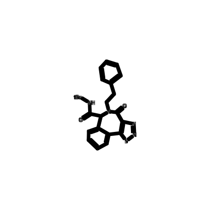 CC(C)(C)NC(=O)C1c2ccccc2-c2snnc2C(=O)N1CCc1ccccc1